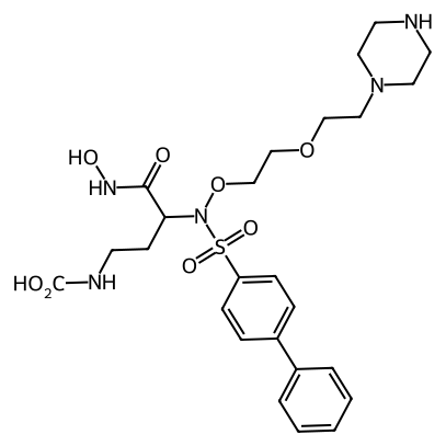 O=C(O)NCCC(C(=O)NO)N(OCCOCCN1CCNCC1)S(=O)(=O)c1ccc(-c2ccccc2)cc1